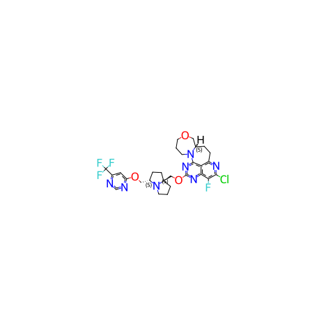 Fc1c(Cl)nc2c3c(nc(OC[C@@]45CCCN4[C@H](COc4cc(C(F)(F)F)ncn4)CC5)nc13)N1CCCOC[C@@H]1CC2